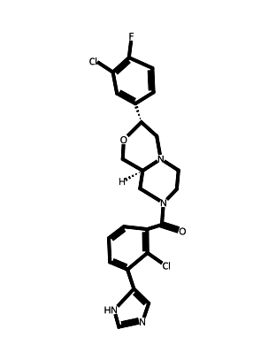 O=C(c1cccc(-c2cnc[nH]2)c1Cl)N1CCN2C[C@@H](c3ccc(F)c(Cl)c3)OC[C@@H]2C1